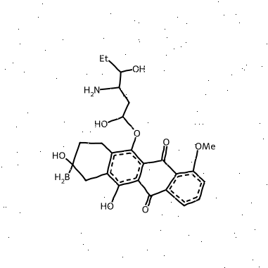 BC1(O)CCc2c(c(O)c3c(c2OC(O)CC(N)C(O)CC)C(=O)c2c(OC)cccc2C3=O)C1